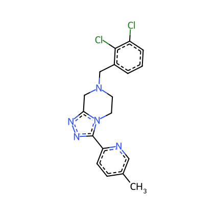 Cc1ccc(-c2nnc3n2CCN(Cc2cccc(Cl)c2Cl)C3)nc1